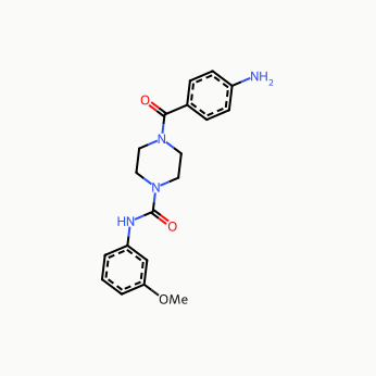 COc1cccc(NC(=O)N2CCN(C(=O)c3ccc(N)cc3)CC2)c1